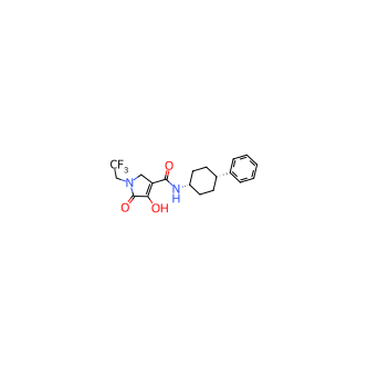 O=C(N[C@H]1CC[C@@H](c2ccccc2)CC1)C1=C(O)C(=O)N(CC(F)(F)F)C1